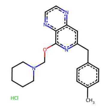 Cc1ccc(Cc2cc3nccnc3c(OCN3CCCCC3)n2)cc1.Cl